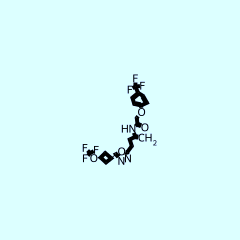 C=C(CCc1nnc([C@H]2C[C@@H](OC(F)(F)F)C2)o1)NC(=O)COc1ccc(C(F)(F)F)cc1